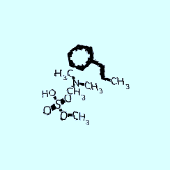 CC=Cc1ccccc1.CN(C)C.COS(=O)(=O)O